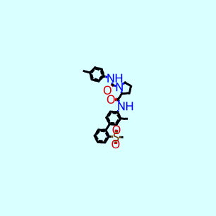 Cc1ccc(NC(=O)N2CCCC2C(=O)Nc2ccc(-c3ccccc3S(C)(=O)=O)cc2C)cc1